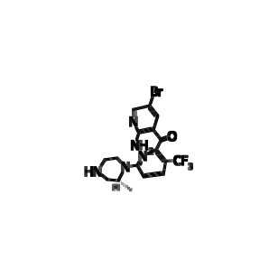 C[C@@H]1CNCCN1c1ccc(C(F)(F)F)c(C(=O)c2cc(Br)cnc2N)n1